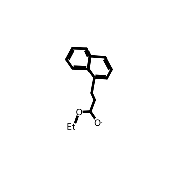 CCOC([O])CCc1cccc2ccccc12